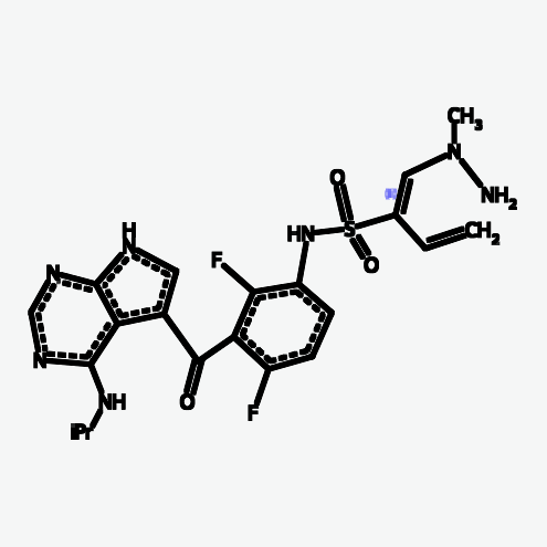 C=C/C(=C\N(C)N)S(=O)(=O)Nc1ccc(F)c(C(=O)c2c[nH]c3ncnc(NC(C)C)c23)c1F